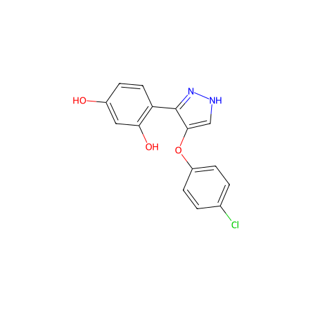 Oc1ccc(-c2n[nH]cc2Oc2ccc(Cl)cc2)c(O)c1